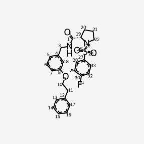 O=C(NCc1cccc(OCCc2ccccc2)c1)[C@@H]1CCCN1S(=O)(=O)c1ccc(F)cc1